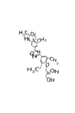 CCc1cc(-c2noc(-c3cc(C)nc(NC(C)C)c3)n2)cc(C)c1OC[C@H](O)CO